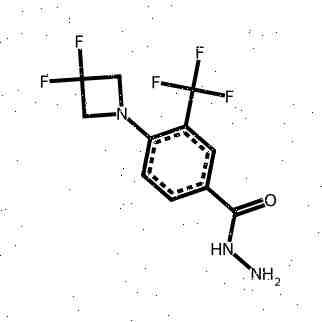 NNC(=O)c1ccc(N2CC(F)(F)C2)c(C(F)(F)F)c1